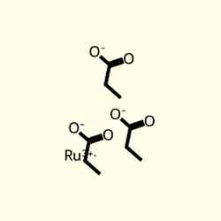 CCC(=O)[O-].CCC(=O)[O-].CCC(=O)[O-].[Ru+3]